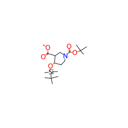 COC(=O)C1CN(C(=O)OC(C)(C)C)CCC1O[Si](C)(C)C(C)(C)C